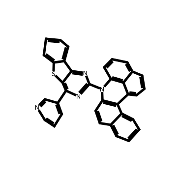 c1cncc(-c2nc(N3c4ccc5ccccc5c4-c4cccc5cccc3c45)nc3c2sc2ccccc23)c1